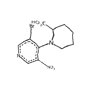 O=C(O)C1CCCCN1c1c(Br)cncc1[N+](=O)[O-]